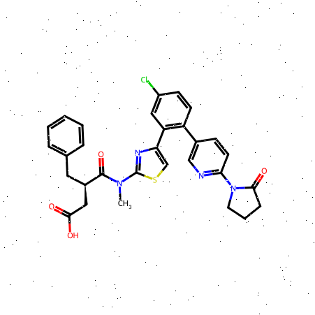 CN(C(=O)[C@@H](CC(=O)O)Cc1ccccc1)c1nc(-c2cc(Cl)ccc2-c2ccc(N3CCCC3=O)nc2)cs1